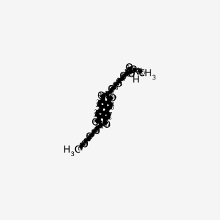 CCCOCCOCCOCCN1C(=O)c2ccc3c4ccc5c6c(ccc(c7ccc(c2c37)C1=O)c64)C(=O)N(CCOCCOCCOCCS(=O)(=O)ONCC)C5=O